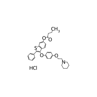 CCCC(=O)Oc1ccc2c(Oc3ccc(OCCN4CCCCC4)cc3)c(-c3ccccc3)sc2c1.Cl